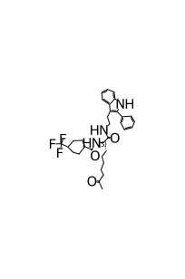 CC(=O)CCCCC[C@H](NC(=O)C1CCC(C(F)(F)F)CC1)C(=O)NCCc1c(-c2ccccc2)[nH]c2ccccc12